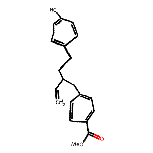 C=CC(CCc1ccc(C#N)cc1)Cc1ccc(C(=O)OC)cc1